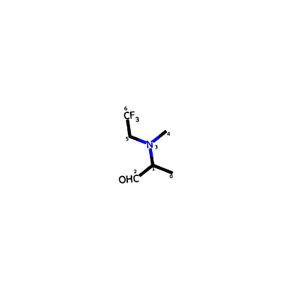 CC(C=O)N(C)CC(F)(F)F